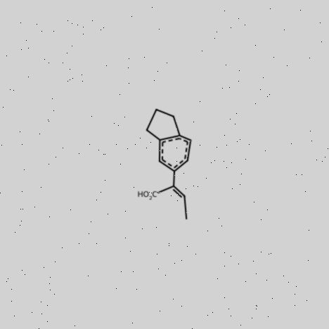 CC=C(C(=O)O)c1ccc2c(c1)CCC2